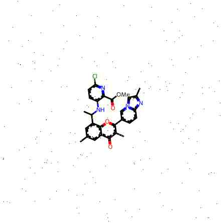 COC(=O)c1nc(Cl)ccc1NC(C)c1cc(C)cc2c(=O)c(C)c(-c3ccc4nc(C)cn4c3)oc12